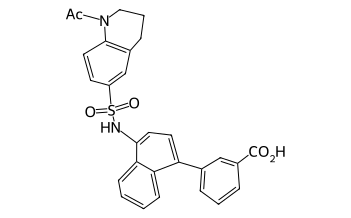 CC(=O)N1CCCc2cc(S(=O)(=O)Nc3ccc(-c4cccc(C(=O)O)c4)c4ccccc34)ccc21